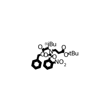 CC[C@H](C)[C@@H](C(=O)OCc1ccccc1)N(CCC(=O)OC(C)(C)C)S(=O)(=O)c1ccccc1[N+](=O)[O-]